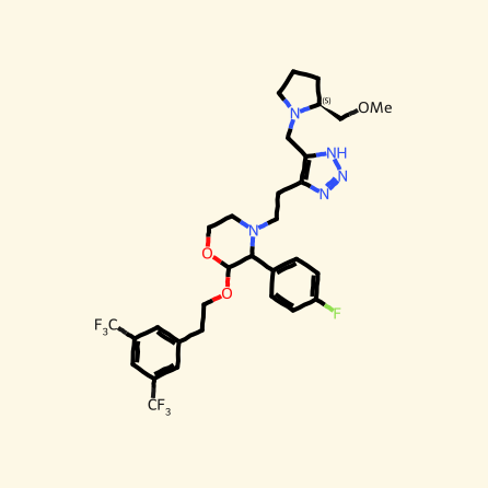 COC[C@@H]1CCCN1Cc1[nH]nnc1CCN1CCOC(OCCc2cc(C(F)(F)F)cc(C(F)(F)F)c2)C1c1ccc(F)cc1